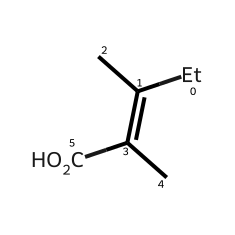 [CH2]CC(C)=C(C)C(=O)O